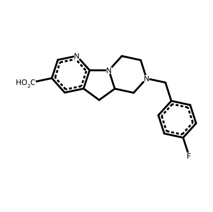 O=C(O)c1cnc2c(c1)CC1CN(Cc3ccc(F)cc3)CCN21